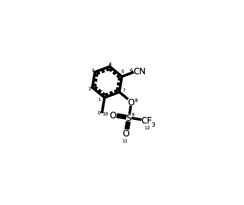 Cc1cccc(C#N)c1OS(=O)(=O)C(F)(F)F